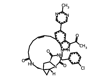 CC(=O)c1nn2c3c(cc(-c4cnc(C)nc4)cc13)CC=CCCCC(=O)NC[C@@]13C[C@@H](C(=O)NCc4cccc(Cl)c4)N(C(=O)C2)[C@@H]1C3